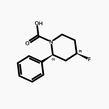 O=C(O)N1CC[C@@H](F)C[C@H]1c1ccccc1